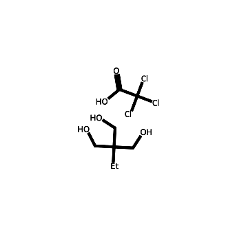 CCC(CO)(CO)CO.O=C(O)C(Cl)(Cl)Cl